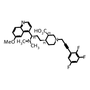 COc1ccc2nccc([C@@H](CC[C@@H]3CCN(CC#Cc4cc(F)cc(F)c4F)C[C@@H]3C(=O)O)N(C)C)c2c1